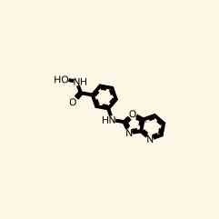 O=C(NO)c1cccc(Nc2nc3ncccc3o2)c1